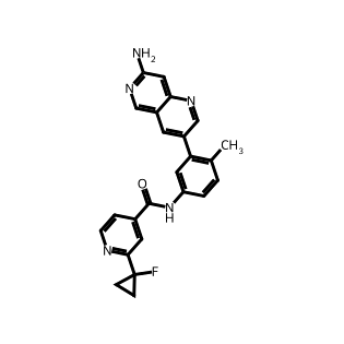 Cc1ccc(NC(=O)c2ccnc(C3(F)CC3)c2)cc1-c1cnc2cc(N)ncc2c1